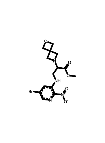 COC(=O)C(CNc1cc(Br)cnc1[N+](=O)[O-])N1CC2(COC2)C1